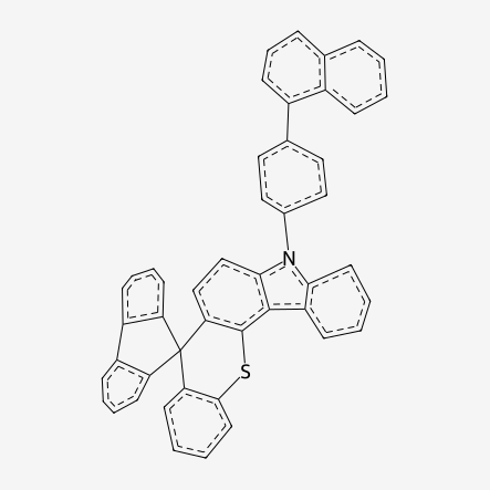 c1ccc2c(c1)Sc1c(ccc3c1c1ccccc1n3-c1ccc(-c3cccc4ccccc34)cc1)C21c2ccccc2-c2ccccc21